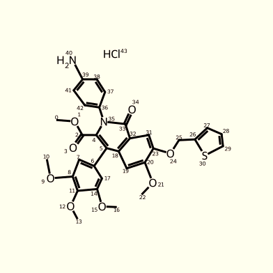 COC(=O)c1c(-c2cc(OC)c(OC)c(OC)c2)c2cc(OC)c(OCc3cccs3)cc2c(=O)n1-c1ccc(N)cc1.Cl